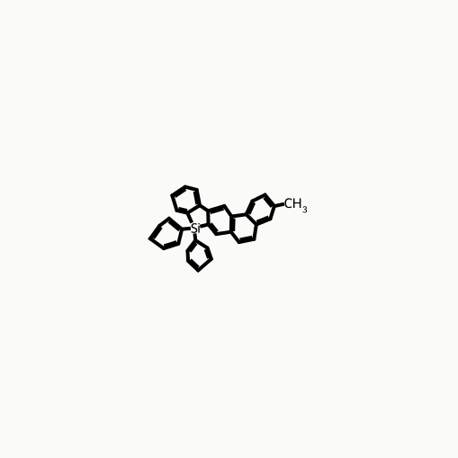 Cc1ccc2c(ccc3cc4c(cc32)-c2ccccc2[Si]4(c2ccccc2)c2ccccc2)c1